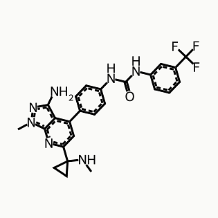 CNC1(c2cc(-c3ccc(NC(=O)Nc4cccc(C(F)(F)F)c4)cc3)c3c(N)nn(C)c3n2)CC1